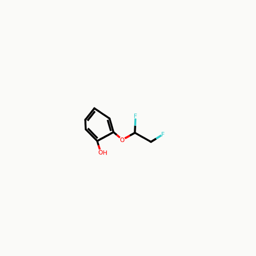 Oc1ccccc1OC(F)CF